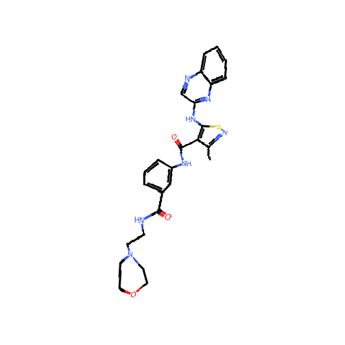 Cc1nsc(Nc2cnc3ccccc3n2)c1C(=O)Nc1cccc(C(=O)NCCN2CCOCC2)c1